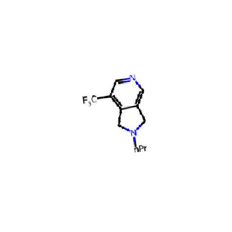 CCCN1Cc2cncc(C(F)(F)F)c2C1